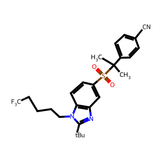 CC(C)(C)c1nc2cc(S(=O)(=O)C(C)(C)c3ccc(C#N)cc3)ccc2n1CCCCC(F)(F)F